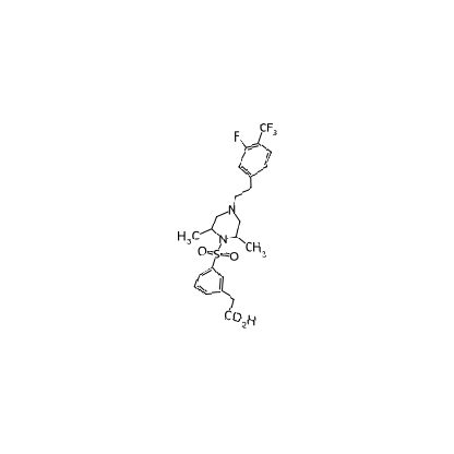 CC1CN(CCc2ccc(C(F)(F)F)c(F)c2)CC(C)N1S(=O)(=O)c1cccc(CC(=O)O)c1